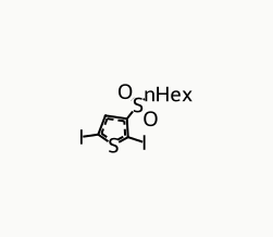 CCCCCCS(=O)(=O)c1cc(I)sc1I